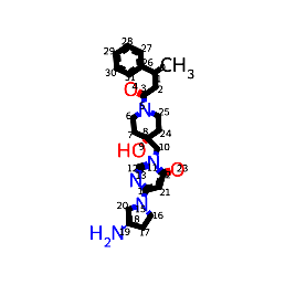 CC(CC(=O)N1CCC(O)(Cn2cnc(N3CC[C@H](N)C3)cc2=O)CC1)c1ccccc1